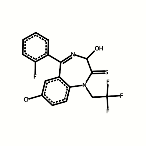 OC1N=C(c2ccccc2F)c2cc(Cl)ccc2N(CC(F)(F)F)C1=S